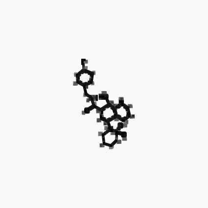 O=C(NCc1ccc(F)cc1)c1cc(N2CCCCS2(=O)=O)c2cccnc2c1O